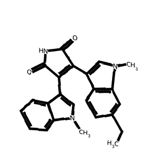 CCc1ccc2c(C3=C(c4cn(C)c5ccccc45)C(=O)NC3=O)cn(C)c2c1